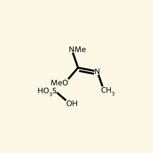 CN=C(NC)OC.O=S(=O)(O)O